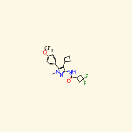 Cn1nc(NC(=O)C2CC(F)(F)C2)c(C2CCC2)c1-c1ccc(OC(F)(F)F)cc1